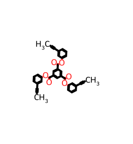 CC#Cc1cccc(OC(=O)c2cc(C(=O)Oc3cccc(C#CC)c3)cc(C(=O)Oc3cccc(C#CC)c3)c2)c1